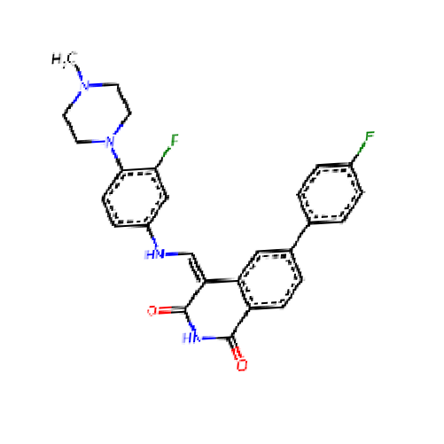 CN1CCN(c2ccc(N/C=C3\C(=O)NC(=O)c4ccc(-c5ccc(F)cc5)cc43)cc2F)CC1